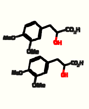 COc1ccc(CC(O)C(=O)O)cc1OC.COc1ccc(CC(O)C(=O)O)cc1OC